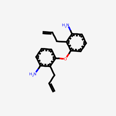 C=CCc1c(N)cccc1Oc1cccc(N)c1CC=C